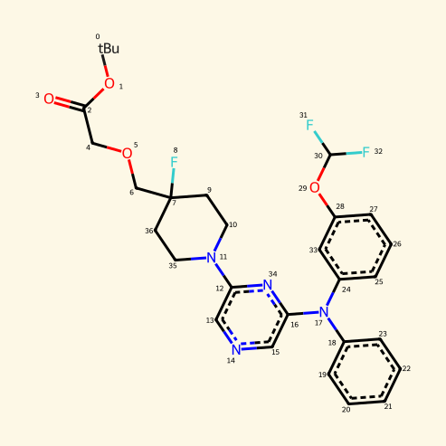 CC(C)(C)OC(=O)COCC1(F)CCN(c2cncc(N(c3ccccc3)c3cccc(OC(F)F)c3)n2)CC1